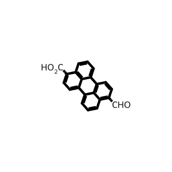 O=Cc1ccc2c3cccc4c(C(=O)O)ccc(c5cccc1c25)c43